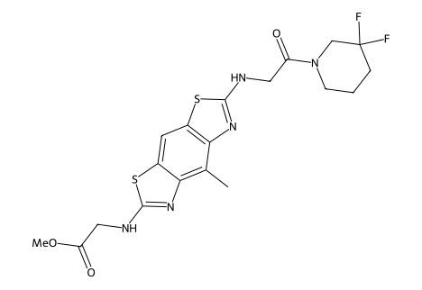 COC(=O)CNc1nc2c(C)c3nc(NCC(=O)N4CCCC(F)(F)C4)sc3cc2s1